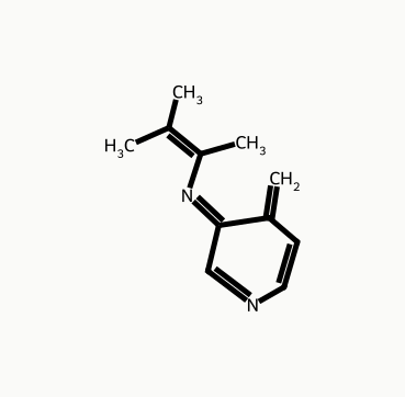 C=C1C=CN=C/C1=N/C(C)=C(C)C